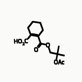 CC(=O)OC(C)(C)COC(=O)C1=C(C(=O)O)CCCC1